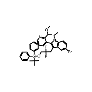 CCn1c(-c2cccnc2C(C)OC)c(CC(F)(F)CO[Si](c2ccccc2)(c2ccccc2)C(C)(C)C)c2cc(Br)ccc21